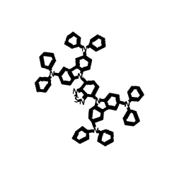 c1ccc(N(c2ccccc2)c2ccc3c(c2)c2cc(N(c4ccccc4)c4ccccc4)ccc2n3-c2ccc(-n3c4ccc(N(c5ccccc5)c5ccccc5)cc4c4cc(N(c5ccccc5)c5ccccc5)ccc43)c3nsnc23)cc1